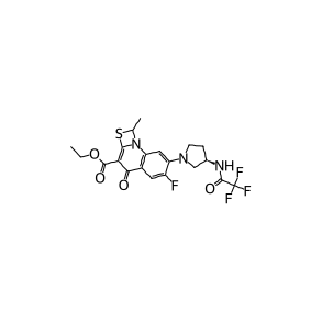 CCOC(=O)c1c2n(c3cc(N4CC[C@@H](NC(=O)C(F)(F)F)C4)c(F)cc3c1=O)C(C)S2